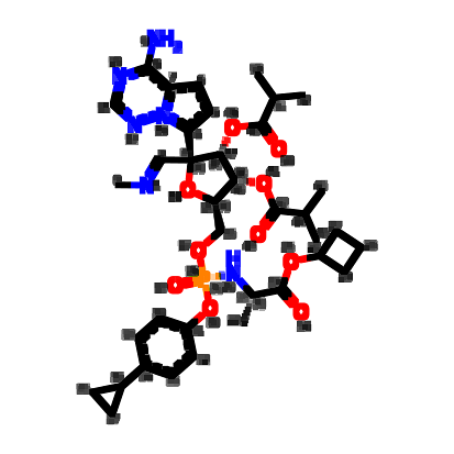 CN=C[C@@]1(c2ccc3c(N)ncnn23)O[C@H](CO[P@@](=O)(N[C@@H](C)C(=O)OC2CCC2)Oc2ccc(C3CC3)cc2)[C@@H](OC(=O)C(C)C)[C@H]1OC(=O)C(C)C